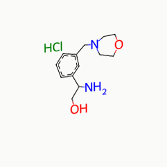 Cl.NC(CO)c1cccc(CN2CCOCC2)c1